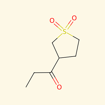 CCC(=O)C1CCS(=O)(=O)C1